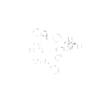 CNC(=O)c1c(-c2ccc(F)cc2)oc2cc(N(C)S(C)(=O)=O)c(-c3cccc(-c4cc5ccccc5n4CC(N)=O)c3)cc12